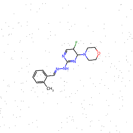 Cc1ccccc1/C=N/NC1=NC(N2CCOCC2)C(F)C=N1